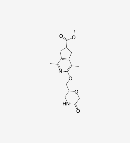 COC(=O)C1Cc2c(C)nc(OCC3CNC(=O)CO3)c(C)c2C1